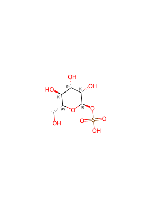 O=S(=O)(O)O[C@H]1O[C@H]([CH]O)[C@@H](O)[C@H](O)[C@@H]1O